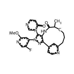 COc1cc(-n2nc3c(c2-n2cnccc2=O)NC(=O)C(C)CCCCc2cc-3ccn2)c(F)cn1